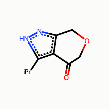 CC(C)c1[nH]nc2c1C(=O)COC2